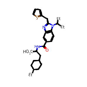 CCC1CCC(CC(NC(=O)c2ccc3c(c2)nc(Cc2cccs2)n3C(CC)CC)C(=O)O)CC1